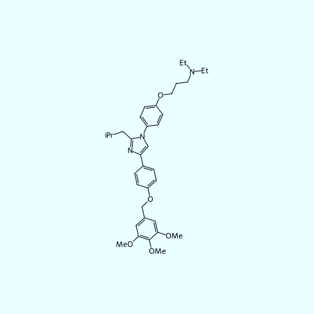 CCN(CC)CCCOc1ccc(-n2cc(-c3ccc(OCc4cc(OC)c(OC)c(OC)c4)cc3)nc2CC(C)C)cc1